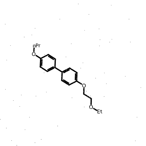 CCCOc1ccc(-c2ccc(OCCOCC)cc2)cc1